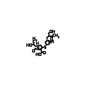 CNC(CO)C[C@@H]1C[C@H](SC2=C(C(=O)O)N3C(=O)[C@H]([C@@H](C)O)[C@H]3C2)CN1